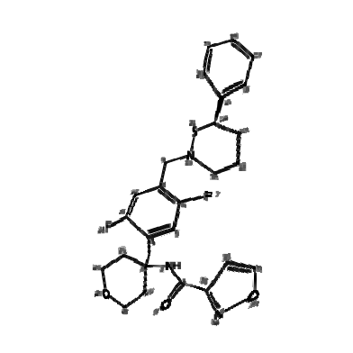 O=C(NC1(c2cc(F)c(CN3CCC[C@H](c4ccccc4)S3)cc2F)CCOCC1)c1ccon1